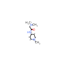 CN(C)CC(=O)NC1CCN(C)CC1